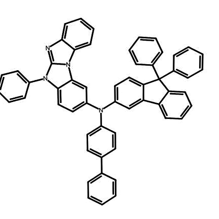 c1ccc(-c2ccc(N(c3ccc4c(c3)-c3ccccc3C4(c3ccccc3)c3ccccc3)c3ccc4c(c3)n3c5ccccc5nc3n4-c3ccccc3)cc2)cc1